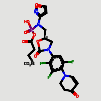 CCOC(=O)CCC(=O)OP(=O)(O)N(C[C@H]1CN(c2cc(F)c(N3C=CC(=O)CC3)c(F)c2F)C(=O)O1)c1ccon1